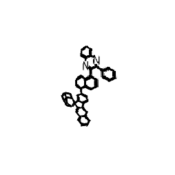 c1ccc(-c2nc3ccccc3nc2-c2cccc3c(-c4ccc5c(c4)C4(c6cc7ccccc7cc6-5)C5CC6CC(C5)CC4C6)cccc23)cc1